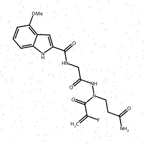 C=C(F)C(=O)N(CCC(N)=O)NC(=O)CNC(=O)c1cc2c(OC)cccc2[nH]1